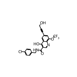 O=C(NCc1ccc(Cl)cc1)c1cnc2c(OC(F)(F)F)cc(C#CCO)cc2c1O